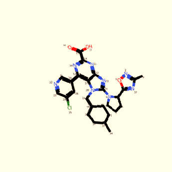 Cc1noc(C2CCCN2c2nc3nc(C(=O)O)nc(-c4cncc(Cl)c4)c3n2CC2CCC(C)CC2)n1